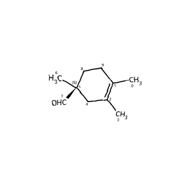 CC1=C(C)C[C@@](C)(C=O)CC1